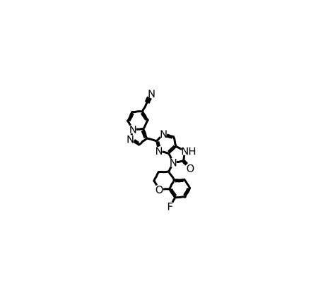 N#Cc1ccn2ncc(-c3ncc4[nH]c(=O)n(C5CCOc6c(F)cccc65)c4n3)c2c1